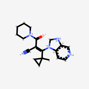 CC1(C(=C(C#N)C(=O)N2CCCCC2)N2CNc3cnccc32)CC1